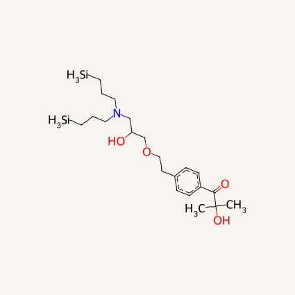 CC(C)(O)C(=O)c1ccc(CCOCC(O)CN(CCC[SiH3])CCC[SiH3])cc1